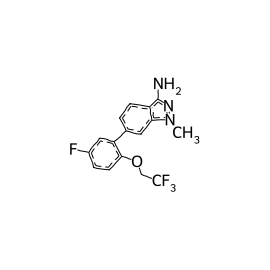 Cn1nc(N)c2ccc(-c3cc(F)ccc3OCC(F)(F)F)cc21